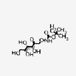 CC(C)(C)OC(=O)NOCC(=O)[C@H](O)[C@@H](O)[C@H](O)CO